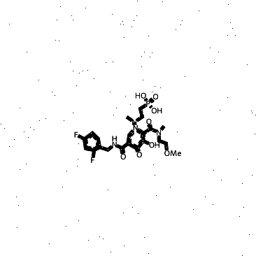 COCCN(C)C(=O)c1c(O)c(=O)c(C(=O)NCc2ccc(F)cc2F)cn1N(C)CCP(=O)(O)O